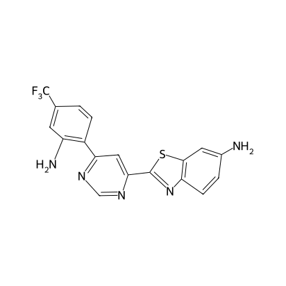 Nc1ccc2nc(-c3cc(-c4ccc(C(F)(F)F)cc4N)ncn3)sc2c1